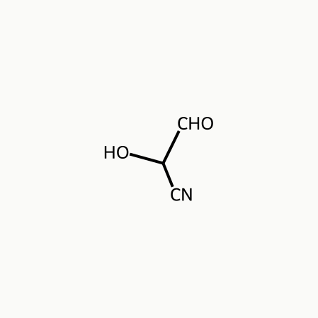 N#CC(O)C=O